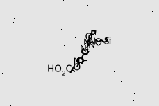 Cc1cc(OCC(C)(C)C(=O)O)ncc1-c1ccc(-c2nc(OC3CCC3)n(COCC[Si](C)(C)C)n2)nc1